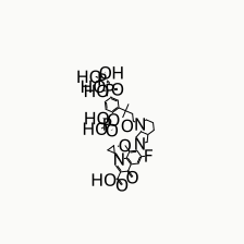 COc1c(N2CC3CCCN(C(=O)CC(C)(C)c4cc(P(=O)(O)C=P(O)(O)O)ccc4OP(=O)(O)O)C3C2)c(F)cc2c(=O)c(C(=O)O)cn(C3CC3)c12